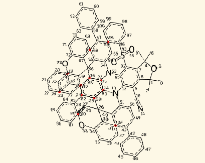 CC1(C)OC(C)(C)c2c1c(C#N)c(N1c3ccc(-c4ccccc4)cc3C3(c4ccccc4Oc4ccccc43)c3cc(-c4ccccc4)ccc31)c(N1c3ccc(-c4ccccc4)cc3C3(c4ccccc4Oc4ccccc43)c3cc(-c4ccccc4)ccc31)c2S(=O)(=O)c1ccccc1